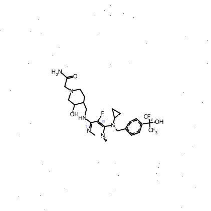 C=N/C(=C(F)\C(=N/C)NCC1CCN(CC(N)=O)CC1O)N(Cc1ccc(C(O)(C(F)(F)F)C(F)(F)F)cc1)C1CC1